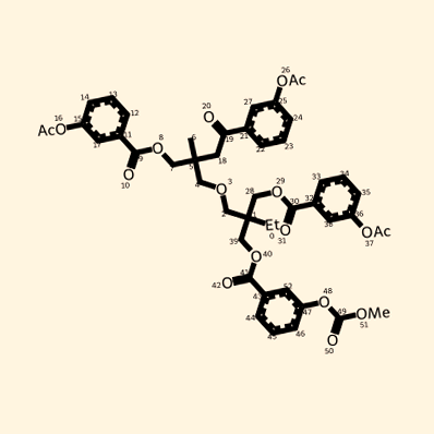 CCC(COCC(C)(COC(=O)c1cccc(OC(C)=O)c1)CC(=O)c1cccc(OC(C)=O)c1)(COC(=O)c1cccc(OC(C)=O)c1)COC(=O)c1cccc(OC(=O)OC)c1